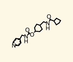 O=C(NCc1ccncc1)OC1CCC(CNC(=O)C2CCCC2)CC1